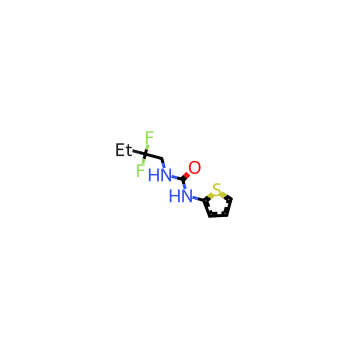 CCC(F)(F)CNC(=O)Nc1cccs1